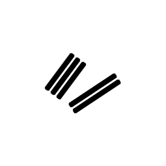 C#C.C=C